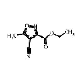 CCOC(=O)c1noc(C)c1C#N